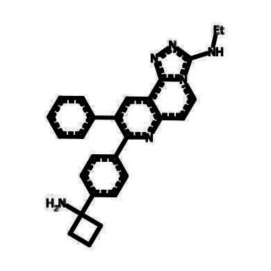 CCNc1nnc2c3cc(-c4ccccc4)c(-c4ccc(C5(N)CCC5)cc4)nc3ccn12